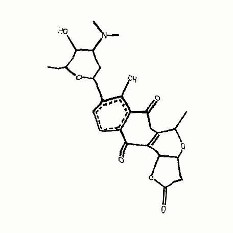 CC1OC2CC(=O)OC2C2=C1C(=O)c1c(ccc(C3CC(N(C)C)C(O)C(C)O3)c1O)C2=O